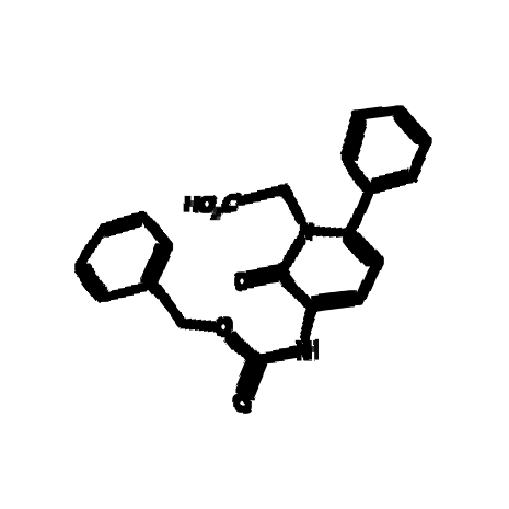 O=C(O)Cn1c(-c2ccccc2)ccc(NC(=O)OCc2ccccc2)c1=O